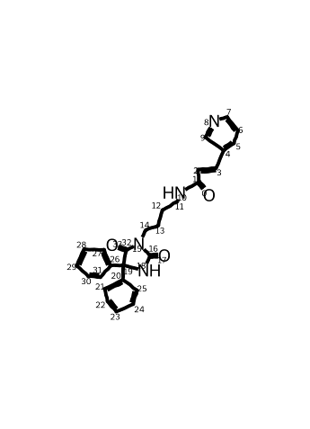 O=C(C=Cc1cccnc1)NCCCCN1C(=O)NC(c2ccccc2)(c2ccccc2)C1=O